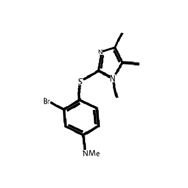 CNc1ccc(Sc2nc(C)c(C)n2C)c(Br)c1